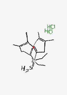 C[CH2][Zr](=[SiH2])([CH2]C)([C]1=CC(C)=C(C)C1)[C]1=CC(C)=C(C)C1.Cl.Cl